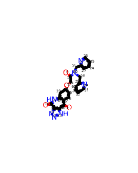 O=C(COc1ccc2c(=O)c3[nH]nnc3c(=O)[nH]c2c1)N(Cc1ccccn1)Cc1ccccn1